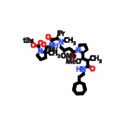 CC[C@H](C)[C@@H]([C@@H](CC(=O)N1CCC[C@H]1[C@H](OC)[C@@H](C)C(=O)NCCC1C=CC=CC=C1)OC)N(C)[C@H](C(=O)NC(=O)[C@]1(C)CCCN1C(=O)OC(C)(C)C)C(C)C